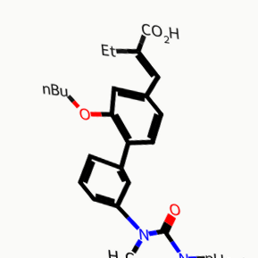 CCCCCCCNC(=O)N(C)c1cccc(-c2ccc(/C=C(\CC)C(=O)O)cc2OCCCC)c1